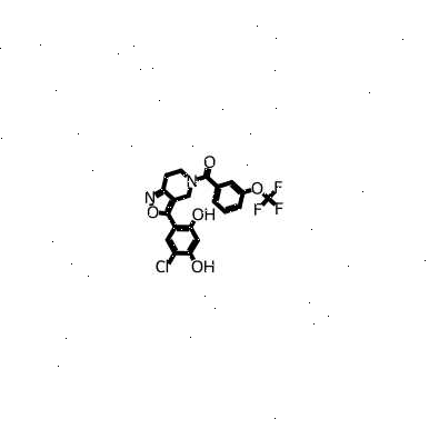 O=C(c1cccc(OC(F)(F)F)c1)N1CCc2noc(-c3cc(Cl)c(O)cc3O)c2C1